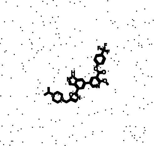 COc1ncc(-c2cc(-c3ncc(CN4CCN(C(C)C)CC4)o3)c3cn[nH]c3c2)cc1C(=O)Oc1ccc(C(F)(F)F)cc1